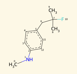 CNc1ccc(CC(C)(C)F)cc1